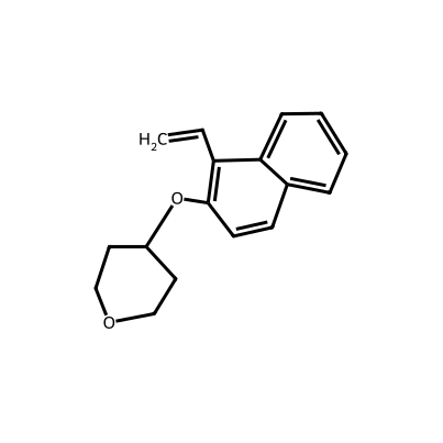 C=Cc1c(OC2CCOCC2)ccc2ccccc12